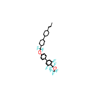 CCCC1CCC(C2CCC(C(F)(F)Oc3ccc(-c4cc(F)c(C(F)(F)OC(F)(F)F)c(F)c4)cc3)CC2)CC1